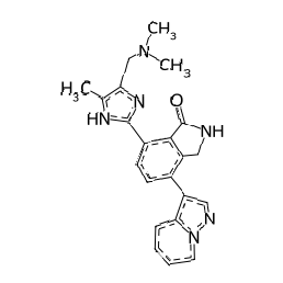 Cc1[nH]c(-c2ccc(-c3cnn4ccccc34)c3c2C(=O)NC3)nc1CN(C)C